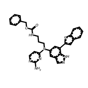 Nc1nccc(N(CCCNC(=O)OCc2ccccc2)c2cc(-c3cc4ccccc4s3)c3[nH]ncc3c2)n1